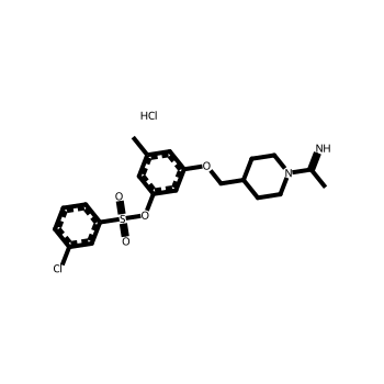 CC(=N)N1CCC(COc2cc(C)cc(OS(=O)(=O)c3cccc(Cl)c3)c2)CC1.Cl